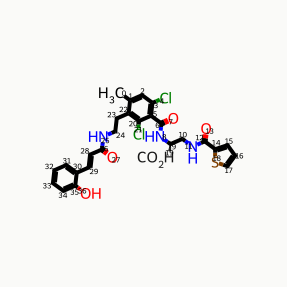 Cc1cc(Cl)c(C(=O)N[C@@H](CNC(=O)c2cccs2)C(=O)O)c(Cl)c1CCNC(=O)/C=C/c1ccccc1O